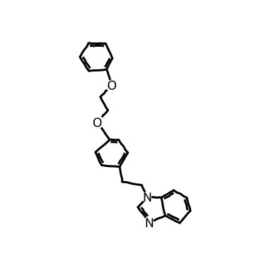 c1ccc(OCCOc2ccc(CCn3cnc4ccccc43)cc2)cc1